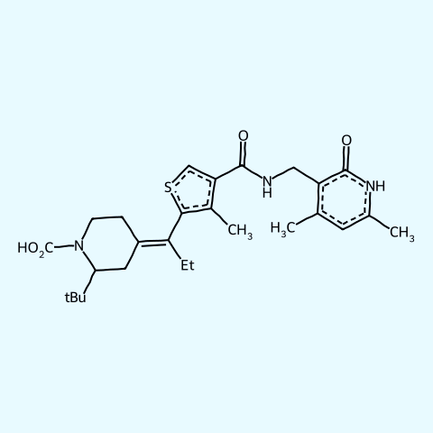 CC/C(=C1/CCN(C(=O)O)C(C(C)(C)C)C1)c1scc(C(=O)NCc2c(C)cc(C)[nH]c2=O)c1C